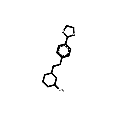 CC1CCCC(CCc2ccc(C3OCCO3)cc2)C1